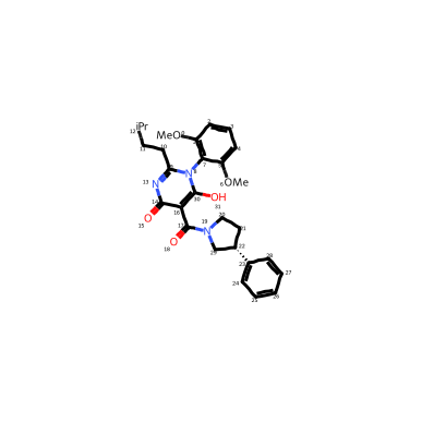 COc1cccc(OC)c1-n1c(CCC(C)C)nc(=O)c(C(=O)N2CC[C@H](c3ccccc3)C2)c1O